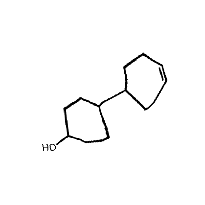 OC1CCC(C2CC=CCC2)CC1